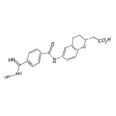 CCCNC(=N)c1ccc(C(=O)Nc2ccc3c(c2)CCC(CC(=O)O)O3)cc1